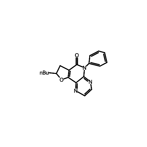 CCCCC1Cc2c(c3nccnc3n(-c3ccccc3)c2=O)O1